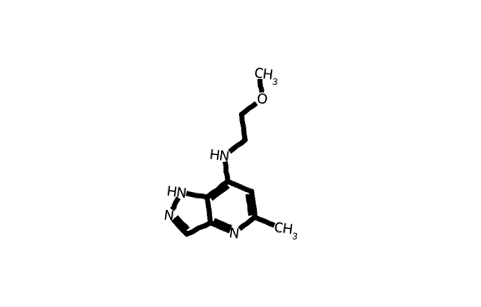 COCCNc1cc(C)nc2cn[nH]c12